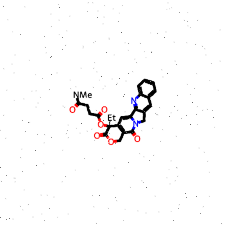 CC[C@@]1(OC(=O)CCC(=O)NC)C(=O)OCc2c1cc1n(c2=O)Cc2cc3ccccc3nc2-1